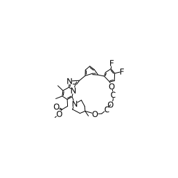 COC(=O)Cc1c(C)c(C)c2nc3c(C)n2c1N1CCC(C)(CC1)OCCOCCOc1cc(F)c(F)cc1-c1cccc-3c1